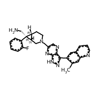 Cc1cc2ncccc2cc1-c1n[nH]c2nc(N3CC[C@@H]4[C@H](C3)[C@@]4(CN)c3ccccc3F)cnc12